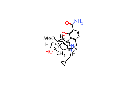 CO[C@@]12C3=C[C@@]4(C[C@]31C(C)(C)O)[C@H]1Cc3ccc(C(N)=O)c5c3[C@@]4(CCN1CC1CC1)[C@H]2O5